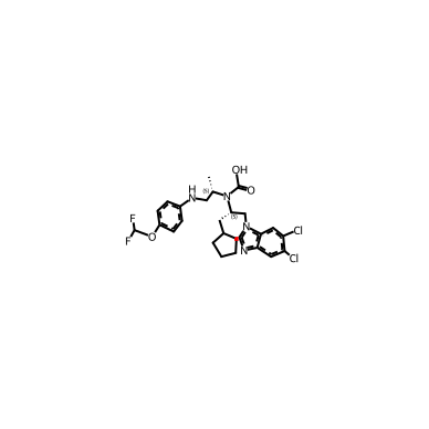 C[C@@H](CNc1ccc(OC(F)F)cc1)N(C(=O)O)[C@@H](CC1CCCC1)Cn1cnc2cc(Cl)c(Cl)cc21